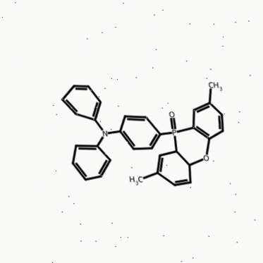 CC1=CC2C(C=C1)Oc1ccc(C)cc1P2(=O)c1ccc(N(c2ccccc2)c2ccccc2)cc1